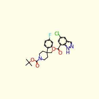 CC(C)(C)OC(=O)N1CCC(COC(=O)c2cc(Cl)cc3cn[nH]c23)(c2ccc(F)cc2)CC1